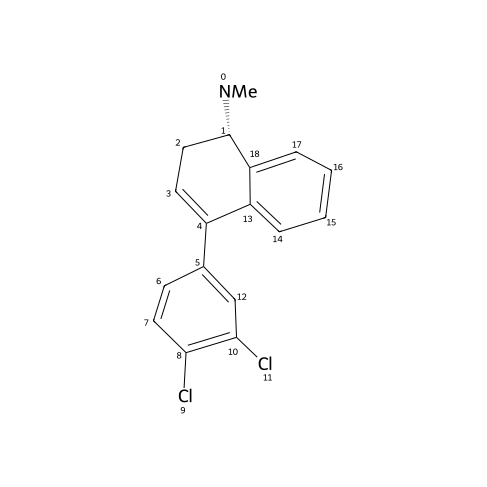 CN[C@H]1CC=C(c2ccc(Cl)c(Cl)c2)c2ccccc21